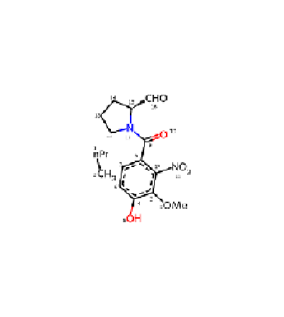 CCCC.COc1c(O)ccc(C(=O)N2CCC[C@H]2C=O)c1[N+](=O)[O-]